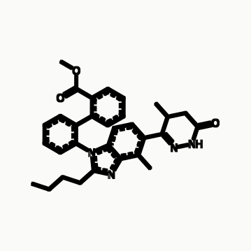 CCCCc1nc2c(C)c(C3=NNC(=O)CC3C)ccc2n1-c1ccccc1-c1ccccc1C(=O)OC